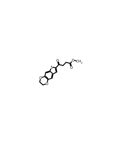 COC(=O)CCC(=O)c1cc2cc3c(cc2s1)OCCO3